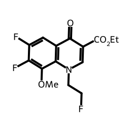 CCOC(=O)c1cn(CCF)c2c(OC)c(F)c(F)cc2c1=O